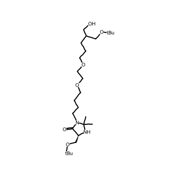 CC(C)(C)OCC(CO)CCCOCCOCCCCN1C(=O)[C@H](COC(C)(C)C)NC1(C)C